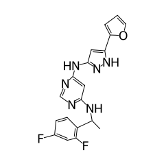 CC(Nc1cc(Nc2cc(-c3ccco3)[nH]n2)ncn1)c1ccc(F)cc1F